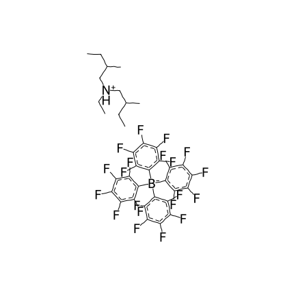 CCC(C)C[NH+](CC)CC(C)CC.Fc1c(F)c(F)c([B-](c2c(F)c(F)c(F)c(F)c2F)(c2c(F)c(F)c(F)c(F)c2F)c2c(F)c(F)c(F)c(F)c2F)c(F)c1F